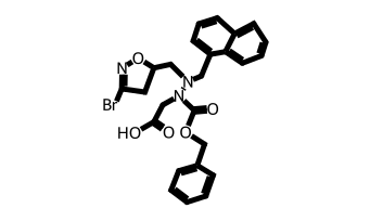 O=C(O)CN(C(=O)OCc1ccccc1)N(Cc1cccc2ccccc12)CC1CC(Br)=NO1